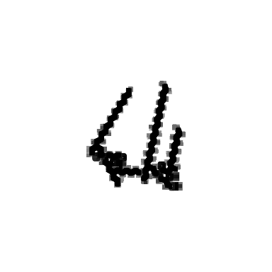 CCCCCCCCCCCCCCCC(CC)CC(=O)N(CCCC(CCC)CCCCCC)CC(O)CO.CCCCCCCCCCCCCCCCCCCC(CCC)CCN(CC(O)CO)C(=O)CC(C)CCCCCCCCC